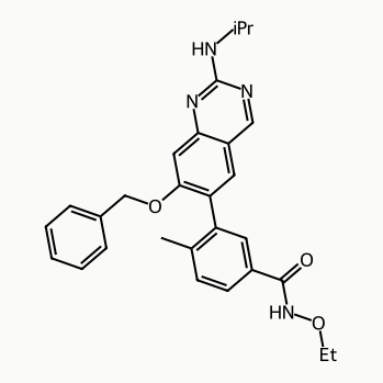 CCONC(=O)c1ccc(C)c(-c2cc3cnc(NC(C)C)nc3cc2OCc2ccccc2)c1